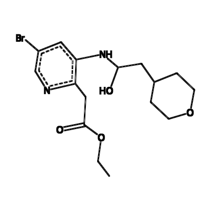 CCOC(=O)Cc1ncc(Br)cc1NC(O)CC1CCOCC1